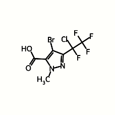 Cn1nc(C(F)(Cl)C(F)(F)F)c(Br)c1C(=O)O